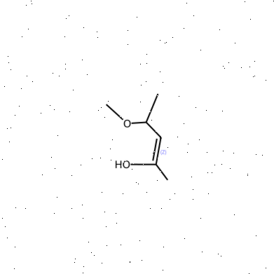 COC(C)/C=C(/C)O